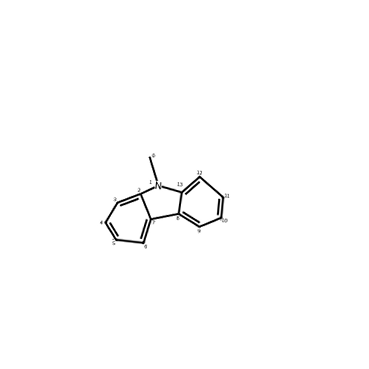 Cn1c2cc[c]cc2c2c[c]ccc21